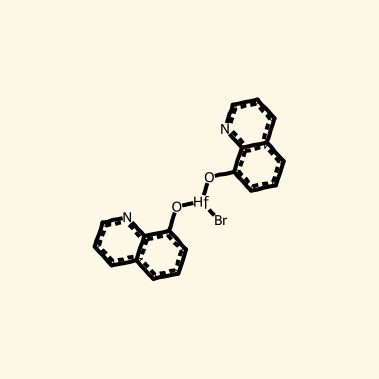 [Br][Hf]([O]c1cccc2cccnc12)[O]c1cccc2cccnc12